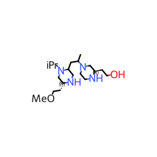 COCC[C@@H]1CN(C(C)C)C(CC(C)N2CCN[C@H](CCO)C2)CN1